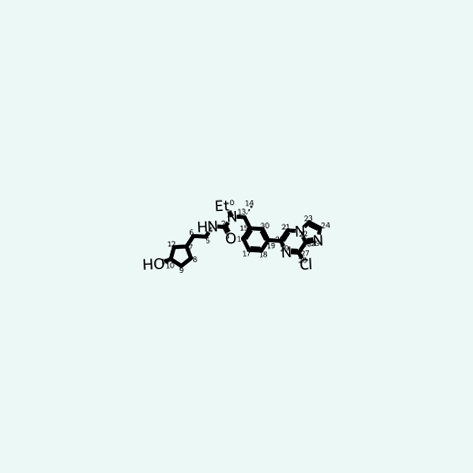 CCN(C(=O)NCCC1CCC(O)C1)[C@H](C)c1cccc(-c2cn3ccnc3c(Cl)n2)c1